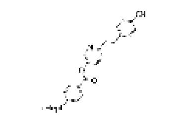 CCCCCCCc1ccc(C(=O)Oc2ccc(CCc3ccc(C#N)cc3)nc2)cc1